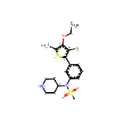 CS(=O)(=O)N(c1cccc(-c2sc(C(=O)O)c(OCC(=O)O)c2Br)c1)C1CCNCC1